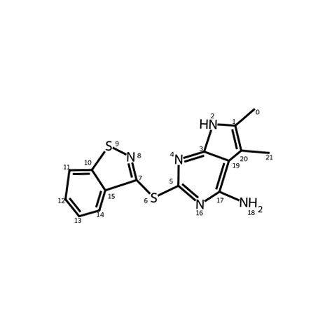 Cc1[nH]c2nc(Sc3nsc4ccccc34)nc(N)c2c1C